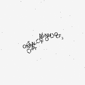 Cc1nn(-c2ccc(/C=N/N=C3\SCC(=O)N3c3ccccc3C(C)C)cc2F)cc1NC(=O)c1ccc(OC(F)(F)F)cc1